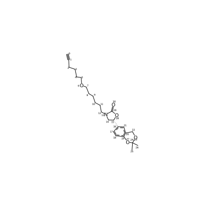 C#CCCCCOCCCCCCN1C[C@@H](c2ccc3c(c2)COC(C)(C)O3)OC1=O